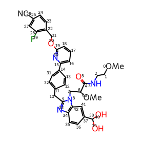 COCCNC(=O)[C@H](Cn1c(Cc2ccc(-c3cccc(OCc4ccc(C#N)cc4F)n3)cc2)nc2ccc(C(O)O)cc21)OC